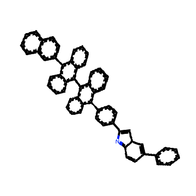 C1=CC2=NC(c3ccc(-c4c5ccccc5c(-c5c6ccccc6c(-c6ccc7ccccc7c6)c6ccccc56)c5ccccc45)cc3)=CC2C=C1c1ccccc1